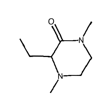 CCC1C(=O)N(C)CCN1C